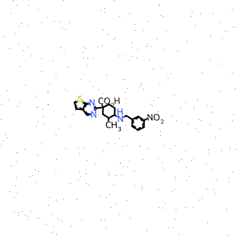 CC1CC(C(=O)O)(c2ncc3ccsc3n2)CCC1NCc1cccc([N+](=O)[O-])c1